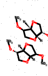 O=[N+]([O-])O[C@@H]1CO[C@H]2[C@@H]1OC[C@@H]2O.O=[N+]([O-])O[C@H]1CO[C@H]2[C@@H]1OC[C@H]2O[N+](=O)[O-]